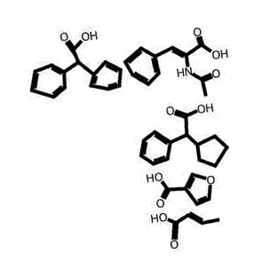 C/C=C/C(=O)O.CC(=O)NC(=Cc1ccccc1)C(=O)O.O=C(O)C(c1ccccc1)C1CCCC1.O=C(O)C(c1ccccc1)c1ccccc1.O=C(O)c1ccoc1